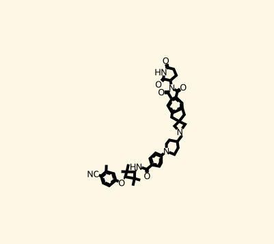 Cc1cc(O[C@H]2C(C)(C)[C@H](NC(=O)c3ccc(N4CCC(CN5CC6(Cc7cc8c(cc7C6)C(=O)N(C6CCC(=O)NC6=O)C8=O)C5)CC4)cc3)C2(C)C)ccc1C#N